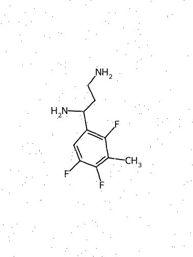 Cc1c(F)c(F)cc(C(N)CCN)c1F